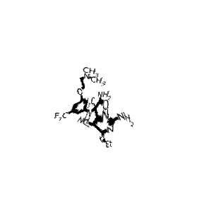 CCOc1nc(N)nc([C@@](C)(Nc2cc(OCCN(C)C)cc(C(F)(F)F)c2)C(N)=O)c1C#N